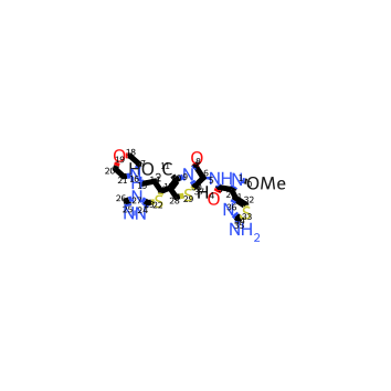 CON=C(C(=O)N[C@@H]1C(=O)N2C(C(=O)O)=C(C(CCN3CCOCC3)Sc3nnc[nH]3)CS[C@@H]12)c1csc(N)n1